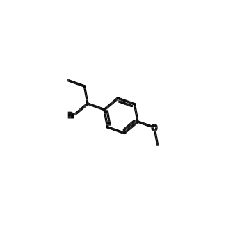 CC[C](Br)c1ccc(OC)cc1